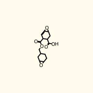 O=C(OCC1CCC2OC2C1)C1C=C2OC2CC1C(=O)O